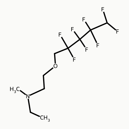 CCN(C)CCOCC(F)(F)C(F)(F)C(F)(F)C(F)F